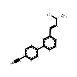 C[C@@H](O)C=Cc1cccc(-c2ccc(C#N)cc2)c1